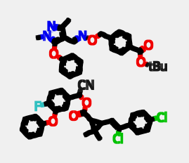 CC1(C)C(/C=C(\Cl)c2ccc(Cl)cc2)C1C(=O)OC(C#N)c1ccc(F)c(Oc2ccccc2)c1.Cc1nn(C)c(Oc2ccccc2)c1/C=N/OCc1ccc(C(=O)OC(C)(C)C)cc1